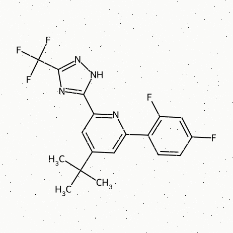 CC(C)(C)c1cc(-c2nc(C(F)(F)F)n[nH]2)nc(-c2ccc(F)cc2F)c1